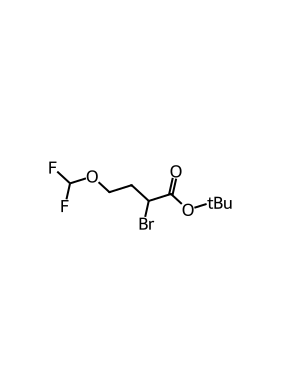 CC(C)(C)OC(=O)C(Br)CCOC(F)F